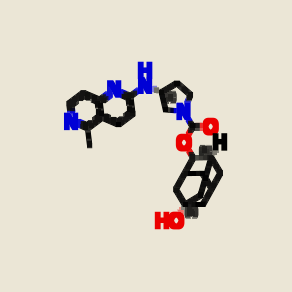 Cc1nccc2nc(N[C@@H]3CCN(C(=O)OC4C5CC6C[C@H]4C[C@@](O)(C6)C5)C3)ccc12